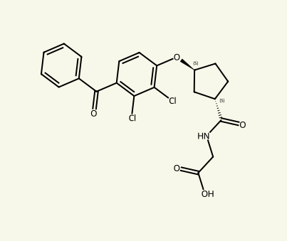 O=C(O)CNC(=O)[C@H]1CC[C@H](Oc2ccc(C(=O)c3ccccc3)c(Cl)c2Cl)C1